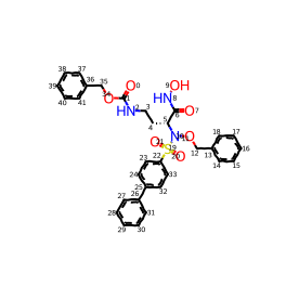 O=C(NCC[C@H](C(=O)NO)N(OCc1ccccc1)S(=O)(=O)c1ccc(-c2ccccc2)cc1)OCc1ccccc1